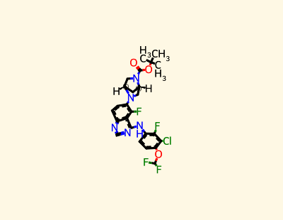 CC(C)(C)OC(=O)N1C[C@@H]2C[C@H]1CN2c1ccc2ncnc(Nc3ccc(OC(F)F)c(Cl)c3F)c2c1F